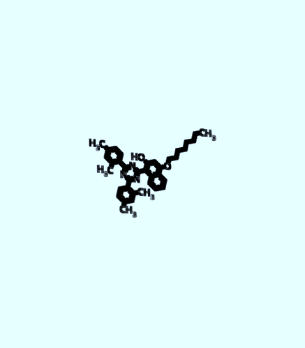 CCCCCCCCOc1cc(O)c(-c2nc(-c3ccc(C)cc3C)nc(-c3ccc(C)cc3C)n2)c2ccccc12